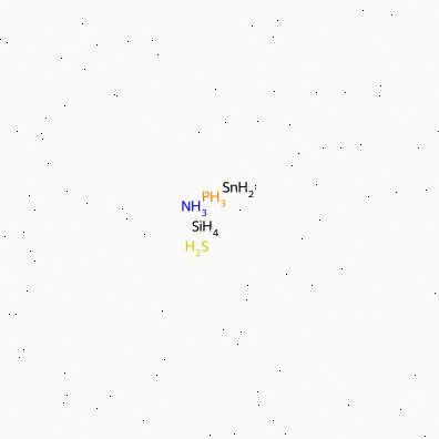 N.P.S.[SiH4].[SnH2]